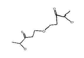 CC(Cl)C(=O)CCOCCC(=O)C(C)Cl